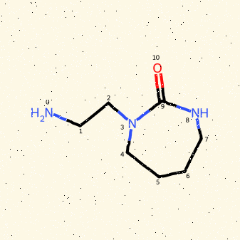 NCCN1CCCCNC1=O